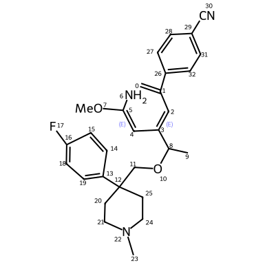 C=C(/C=C(\C=C(/N)OC)C(C)OCC1(c2ccc(F)cc2)CCN(C)CC1)c1ccc(C#N)cc1